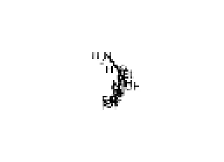 CCc1cc(Nc2nccn3c(-c4ccc(OC(F)F)c(F)c4F)cnc23)ccc1C(=O)NCCCCCN.Cl